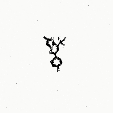 Cc1cn2nc(-c3ccc(F)cc3)cc(C(F)(F)F)c2n1